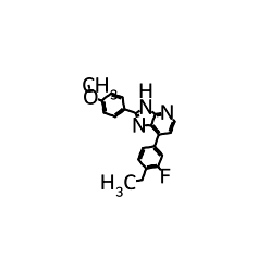 CCc1ccc(-c2ccnc3[nH]c(-c4ccc(OC)cc4)nc23)cc1F